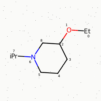 CCO[C]1CCCN(C(C)C)C1